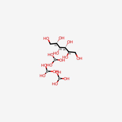 OB(O)O.OB(O)O.OB(O)O.OC[C@@H](O)[C@@H](O)[C@H](O)[C@@H](O)CO